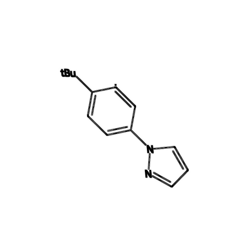 CC(C)(C)c1[c]cc(-n2cccn2)cc1